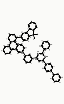 CC1(C)c2ccccc2-c2cc(-c3cccc4c5ccccc5c5cc(-c6cccc(-c7cc(-c8ccc(-c9ccccc9)cc8)nc(-c8ccccc8)n7)c6)ccc5c34)ccc21